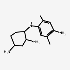 Cc1cc(NC2CCC(N)CC2N)c(C)cc1N